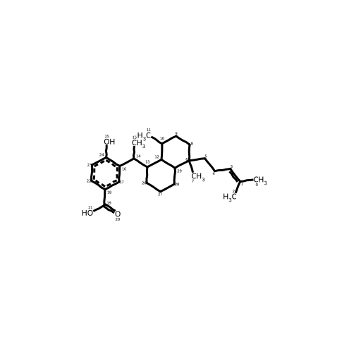 CC(C)=CCCC1(C)CCC(C)C2C(C(C)c3cc(C(=O)O)ccc3O)CCCC21